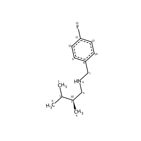 CC(C)[C@H](C)CNCc1ccc(F)cc1